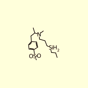 CCC[SiH2]CCCN(C)C(C)Cc1ccc(S(C)(=O)=O)cc1